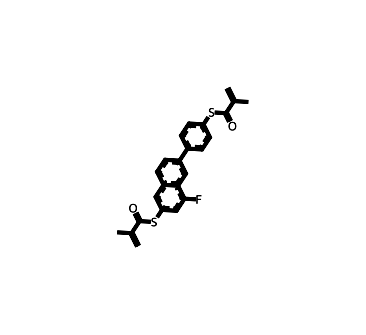 C=C(C)C(=O)Sc1ccc(-c2ccc3cc(SC(=O)C(=C)C)cc(F)c3c2)cc1